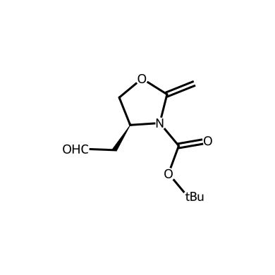 C=C1OC[C@H](CC=O)N1C(=O)OC(C)(C)C